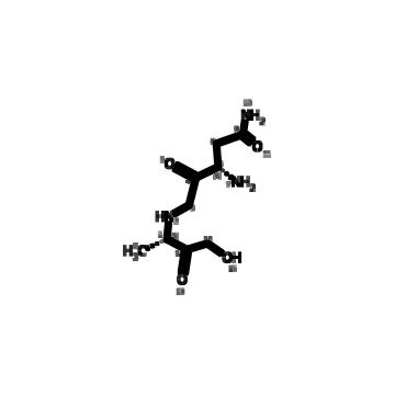 C[C@H](NCC(=O)[C@@H](N)CC(N)=O)C(=O)CO